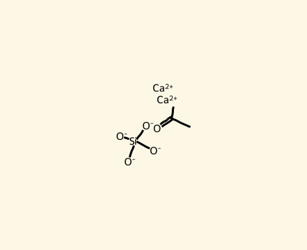 CC(C)=O.[Ca+2].[Ca+2].[O-][Si]([O-])([O-])[O-]